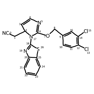 N#CCC1C=CN=C(OCc2ccc(Cl)c(Cl)c2)N1c1nc2ccccc2s1